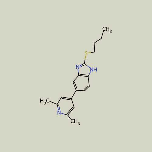 CCCCSc1nc2cc(-c3cc(C)nc(C)c3)ccc2[nH]1